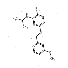 COc1cccc(COc2ncc(F)c(NC(C)C)n2)c1